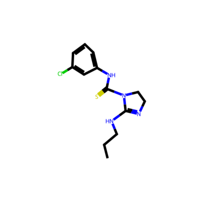 CCCNC1=NCCN1C(=S)Nc1cccc(Cl)c1